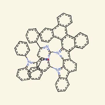 c1ccc(-c2cc(-c3ccccc3)nc(-n3c4c(c5ccccc5c5c6ccccc6c6ccccc6c54)c4ccc5c6ccccc6n(-c6ccc7c(c6)c6ccccc6n7-c6ccccc6)c5c43)n2)cc1